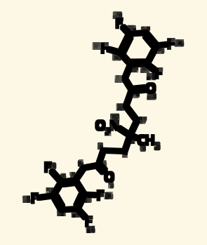 CC(CCC(=O)Cc1c(F)c(F)cc(F)c1F)(CCC(=O)Cc1c(F)c(F)cc(F)c1F)[N+](=O)[O-]